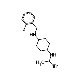 CC(C)C(C)NC1CCC(NCc2ccccc2F)CC1